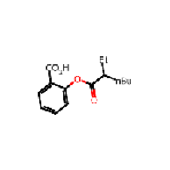 CCCCC(CC)C(=O)Oc1ccccc1C(=O)O